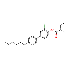 CCCCCCc1ccc(-c2ccc(OC(=O)C(C)CC)c(F)c2)cc1